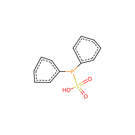 O=S(=O)(O)P(c1ccccc1)c1ccccc1